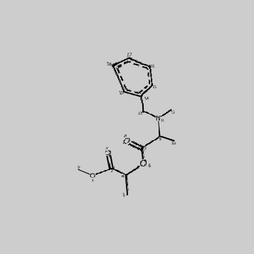 COC(=O)C(C)OC(=O)C(C)N(C)Cc1ccccc1